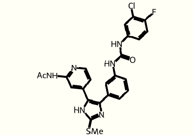 CSc1nc(-c2cccc(NC(=O)Nc3ccc(F)c(Cl)c3)c2)c(-c2ccnc(NC(C)=O)c2)[nH]1